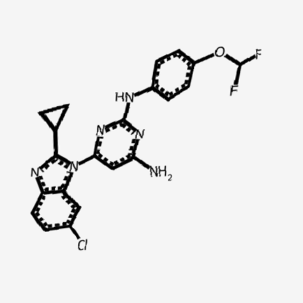 Nc1cc(-n2c(C3CC3)nc3ccc(Cl)cc32)nc(Nc2ccc(OC(F)F)cc2)n1